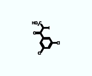 O=C(O)C(I)C(=O)c1cc(Cl)cc(Cl)c1